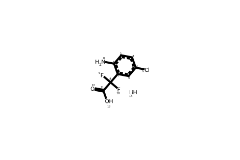 Nc1ccc(Cl)cc1C(F)(F)C(=O)O.[LiH]